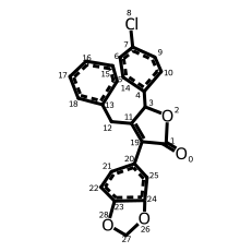 O=C1OC(c2ccc(Cl)cc2)C(Cc2ccccc2)=C1c1ccc2c(c1)OCO2